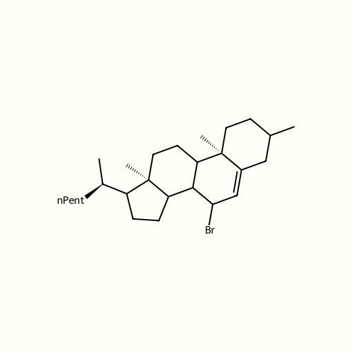 CCCCC[C@@H](C)C1CCC2C3C(Br)C=C4CC(C)CC[C@]4(C)C3CC[C@@]21C